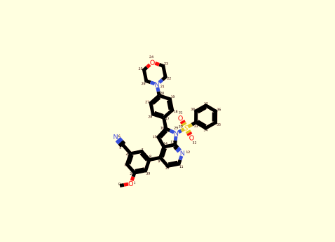 COc1cc(C#N)cc(-c2ccnc3c2cc(-c2ccc(N4CCOCC4)cc2)n3S(=O)(=O)c2ccccc2)c1